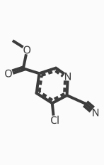 COC(=O)c1cnc(C#N)c(Cl)c1